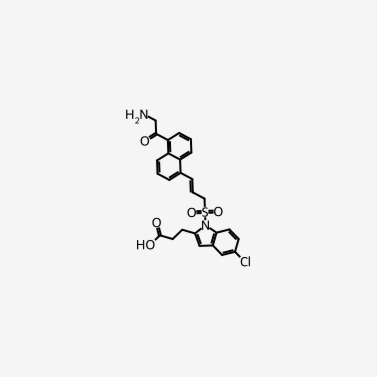 NCC(=O)c1cccc2c(C=CCS(=O)(=O)n3c(CCC(=O)O)cc4cc(Cl)ccc43)cccc12